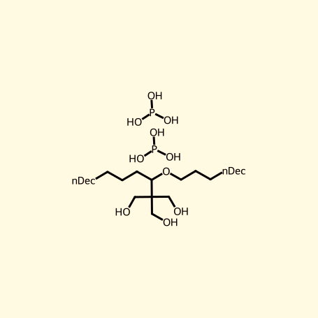 CCCCCCCCCCCCCOC(CCCCCCCCCCCCC)C(CO)(CO)CO.OP(O)O.OP(O)O